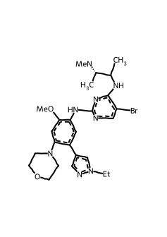 CCn1cc(-c2cc(Nc3ncc(Br)c(NC(C)[C@H](C)NC)n3)c(OC)cc2N2CCOCC2)cn1